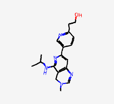 CC(C)Nc1nc(-c2ccc(CCO)nc2)cc2c1CN(C)C=N2